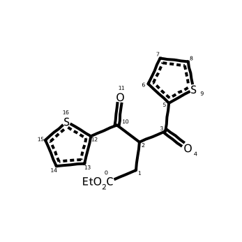 CCOC(=O)CC(C(=O)c1cccs1)C(=O)c1cccs1